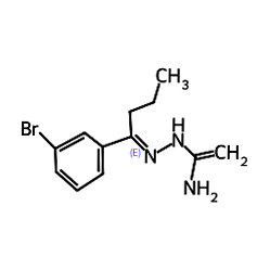 C=C(N)N/N=C(\CCC)c1cccc(Br)c1